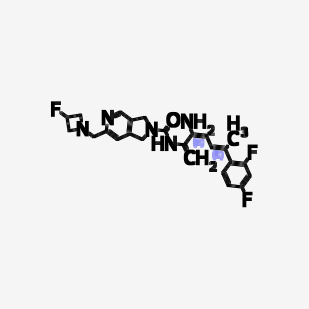 C=C(NC(=O)N1Cc2cnc(CN3CC(F)C3)cc2C1)/C(N)=C\C=C(/C)c1ccc(F)cc1F